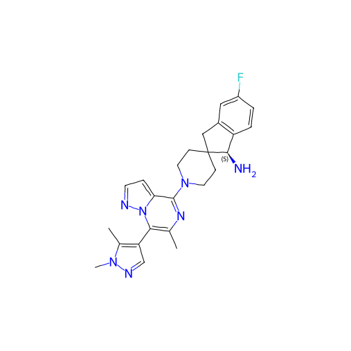 Cc1nc(N2CCC3(CC2)Cc2cc(F)ccc2[C@H]3N)c2ccnn2c1-c1cnn(C)c1C